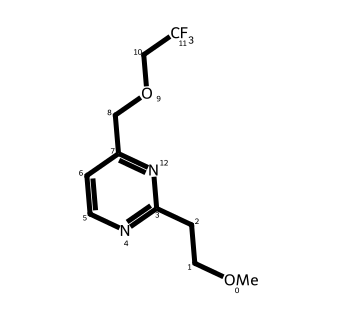 COCCc1nccc(COCC(F)(F)F)n1